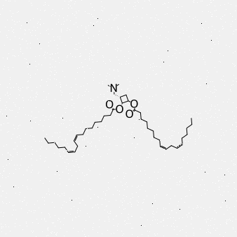 CCCCC/C=C\C/C=C\CCCCCCCC(=O)O[C@@H]1[C@H](CN(C)C)C[C@H]1OC(=O)CCCCCCC/C=C\C/C=C\CCCCC